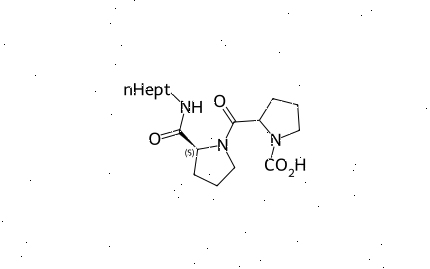 CCCCCCCNC(=O)[C@@H]1CCCN1C(=O)C1CCCN1C(=O)O